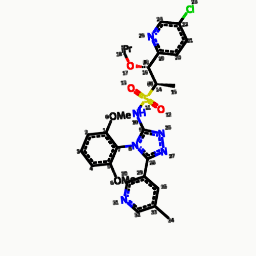 COc1cccc(OC)c1-n1c(NS(=O)(=O)[C@H](C)[C@H](OC(C)C)c2ccc(Cl)cn2)nnc1-c1cncc(C)c1